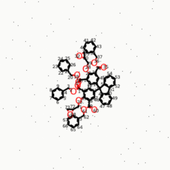 O=C(OCc1ccccc1)c1cc(C2(c3cc(C(=O)OCc4ccccc4)c(OCC4CO4)c(C(=O)OCc4ccccc4)c3)c3ccccc3-c3ccccc32)cc(C(=O)OCc2ccccc2)c1OCC1CO1